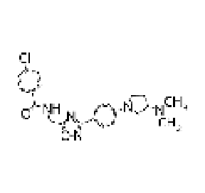 CN(C)C1CCN(c2ccc(-c3noc(CNC(=O)c4ccc(Cl)cc4)n3)cc2)C1